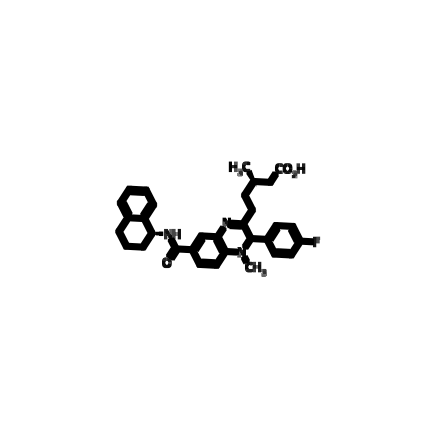 C[C@H](CCC1=Nc2cc(C(=O)N[C@@H]3CCCc4ccccc43)ccc2N(C)C1c1ccc(F)cc1)CC(=O)O